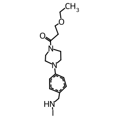 CCOCCC(=O)N1CCN(c2ccc(CNI)cc2)CC1